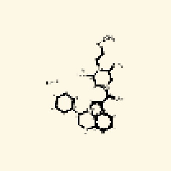 COCCN1C(C)CN(C(=O)c2cn3c4c(cccc24)OC[C@H]3C2CCCCC2)CC1C.Cl